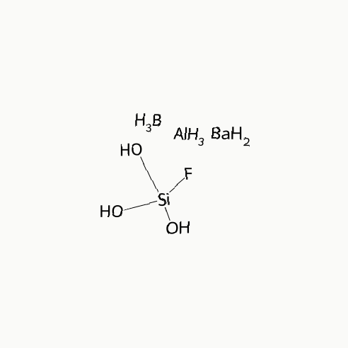 B.O[Si](O)(O)F.[AlH3].[BaH2]